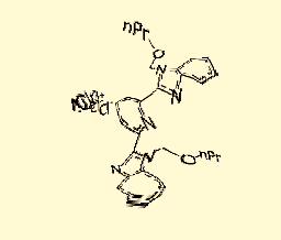 CCCOCn1c(-c2cccc(-c3nc4ccccc4n3COCCC)n2)nc2ccccc21.[Cl-].[Cl-].[Cl-].[Nd+3]